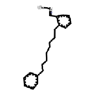 CC(C)(C)/N=C/c1ccccc1CCCCCCCCc1ccccc1